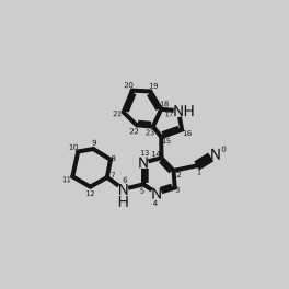 N#Cc1cnc(NC2CCCCC2)nc1-c1c[nH]c2ccccc12